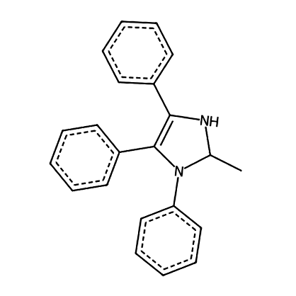 CC1NC(c2ccccc2)=C(c2ccccc2)N1c1ccccc1